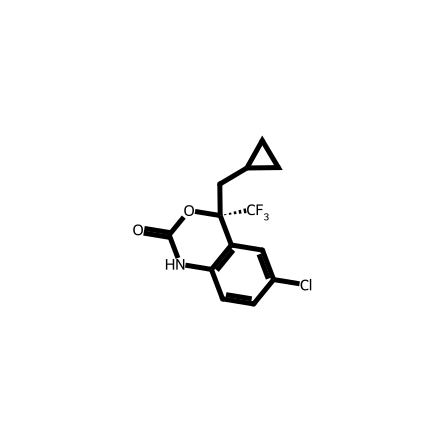 O=C1Nc2ccc(Cl)cc2[C@@](CC2CC2)(C(F)(F)F)O1